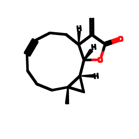 C=C1C(=O)O[C@@H]2[C@H]3C[C@]3(C)CCCC#CCC[C@@H]12